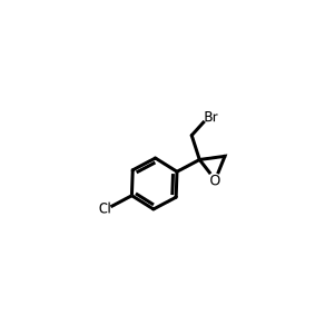 Clc1ccc(C2(CBr)CO2)cc1